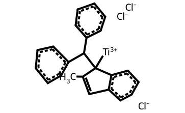 CC1=Cc2ccccc2[C]1([Ti+3])C(c1ccccc1)c1ccccc1.[Cl-].[Cl-].[Cl-]